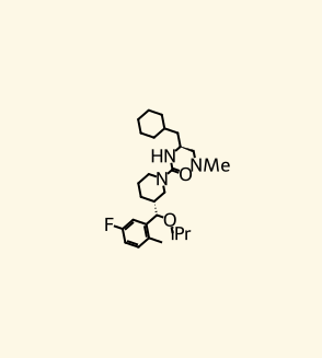 CNC[C@H](CC1CCCCC1)NC(=O)N1CCC[C@@H](C(OC(C)C)c2cc(F)ccc2C)C1